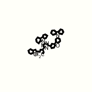 C=C/C(=C\C=C1/Cc2ccccc2O1)c1nc(-c2ccc3oc4ccc(-n5c6ccccc6c6ccccc65)cc4c3c2)nc(-n2c3ccccc3c3ccccc32)n1